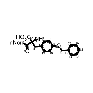 CCCCCCCCCC(=O)C(N)(Cc1ccc(OCc2ccccc2)cc1)C(=O)O